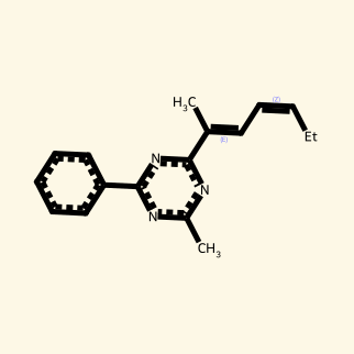 CC/C=C\C=C(/C)c1nc(C)nc(-c2ccccc2)n1